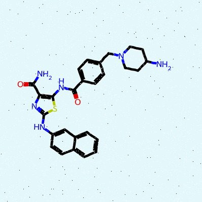 NC(=O)c1nc(Nc2ccc3ccccc3c2)sc1NC(=O)c1ccc(CN2CCC(N)CC2)cc1